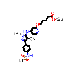 CCS(=O)(=O)Nc1ccc(-c2nn(C(C)(C)C)c(Nc3ccnc(OCCCCC(=O)OC(C)(C)C)c3)c2C#N)cc1